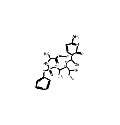 CC(C)OC(=O)C(C)NP(=O)(Oc1ccccc1)OC(C)[C@@H](OC(O)n1ccc(N)nc1=O)C(C)O